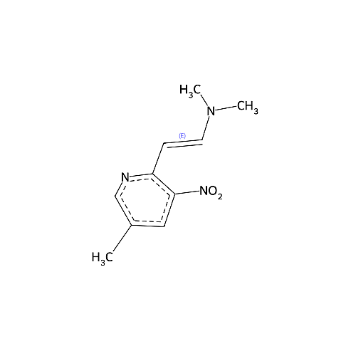 Cc1cnc(/C=C/N(C)C)c([N+](=O)[O-])c1